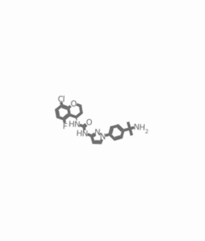 CC(C)(N)c1ccc(-n2ccc(NC(=O)N[C@H]3CCOc4c(Cl)ccc(F)c43)n2)cc1